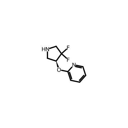 FC1(F)CNC[C@@H]1Oc1ccccn1